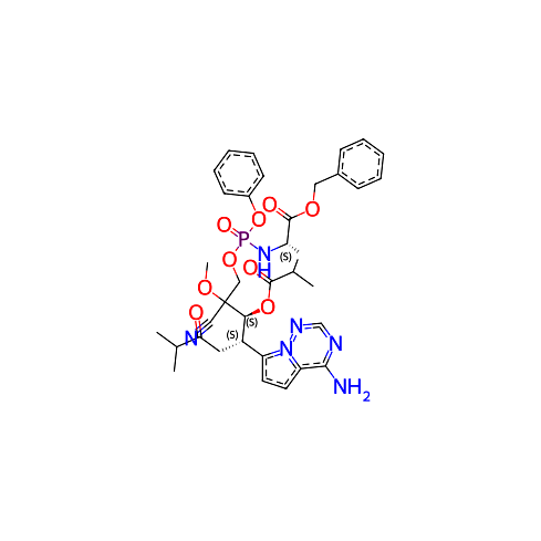 COC(C#N)(COP(=O)(N[C@@H](C)C(=O)OCc1ccccc1)Oc1ccccc1)[C@@H](OC(=O)C(C)C)[C@@H](CC(=O)C(C)C)c1ccc2c(N)ncnn12